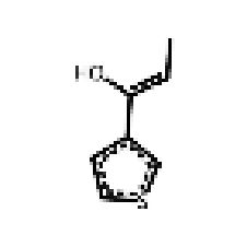 CC=C(O)c1ccsc1